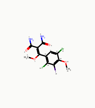 COC(=C(C(N)=O)C(N)=O)c1cc(Br)c(OC)c(I)c1F